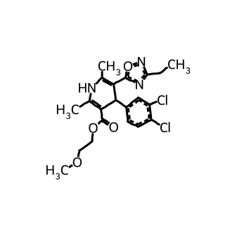 CCc1noc(C2=C(C)NC(C)=C(C(=O)OCCOC)C2c2ccc(Cl)c(Cl)c2)n1